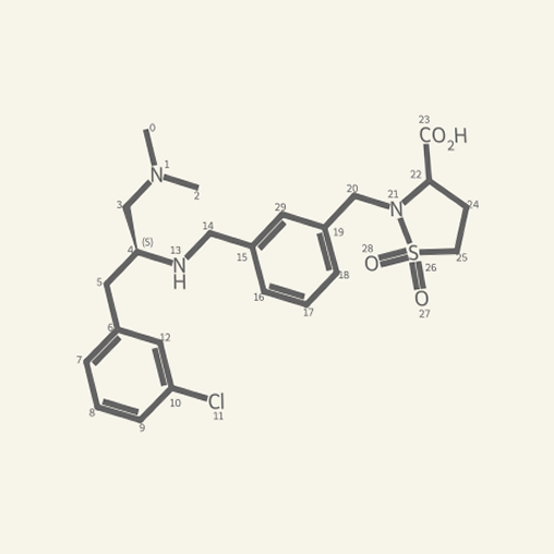 CN(C)C[C@H](Cc1cccc(Cl)c1)NCc1cccc(CN2C(C(=O)O)CCS2(=O)=O)c1